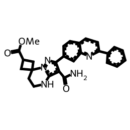 COC(=O)C1CC2(CCNc3c(C(N)=O)c(-c4ccc5ccc(-c6ccccc6)nc5c4)nn32)C1